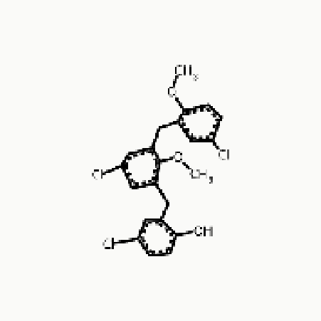 COc1ccc(Cl)cc1Cc1cc(Cl)cc(Cc2cc(Cl)ccc2O)c1OC